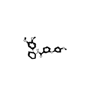 COc1ccc(Oc2cccc(C(=O)N[C@@H]3CCCC[C@@H]3c3ccc(OC)c(OC)c3)c2)cc1